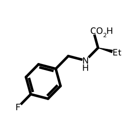 CC[C@@H](NCc1ccc(F)cc1)C(=O)O